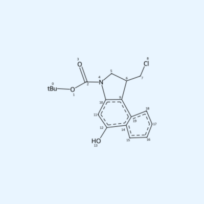 CC(C)(C)OC(=O)N1CC(CCl)c2c1cc(O)c1ccccc21